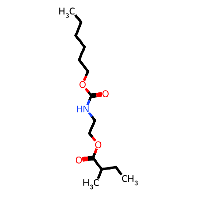 CCCCCCOC(=O)NCCOC(=O)C(C)CC